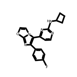 Fc1ccc(-c2nc3occn3c2-c2ccnc(NC3CCC3)n2)cc1